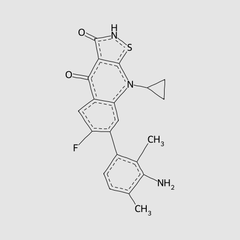 Cc1ccc(-c2cc3c(cc2F)c(=O)c2c(=O)[nH]sc2n3C2CC2)c(C)c1N